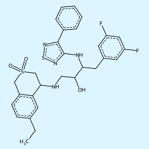 CCc1ccc2c(c1)C(NCC(O)C(Cc1cc(F)cc(F)c1)Nc1nsnc1-c1ccccc1)CS(=O)(=O)C2